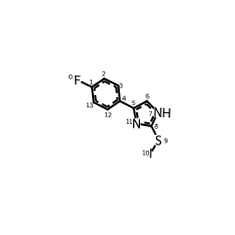 Fc1ccc(-c2c[nH]c(SI)n2)cc1